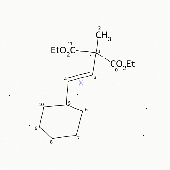 CCOC(=O)C(C)(/C=C/C1CCCCC1)C(=O)OCC